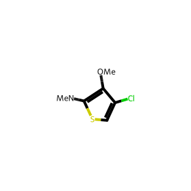 CNc1scc(Cl)c1OC